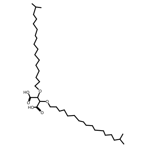 CC(C)CCCCCCCCCCCCCCCOC(C(=O)O)C(OCCCCCCCCCCCCCCCC(C)C)C(=O)O